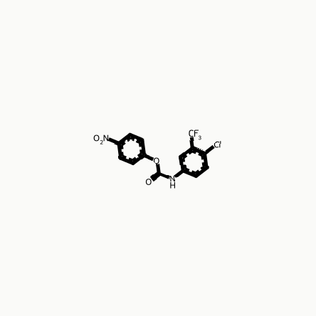 O=C(Nc1ccc(Cl)c(C(F)(F)F)c1)Oc1ccc([N+](=O)[O-])cc1